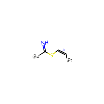 CCC(C)C(=N)S/C=C\C(C)C